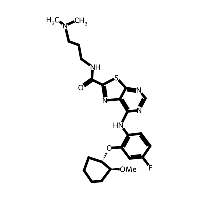 CO[C@H]1CCCC[C@@H]1Oc1cc(F)ccc1Nc1ncnc2sc(C(=O)NCCCN(C)C)nc12